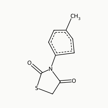 Cc1ccc(N2C(=O)CSC2=O)cc1